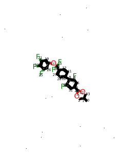 CC1COC(c2cc(F)c(-c3ccc(C(F)(F)Oc4cc(F)c(F)c(F)c4)cc3)c(F)c2)OC1